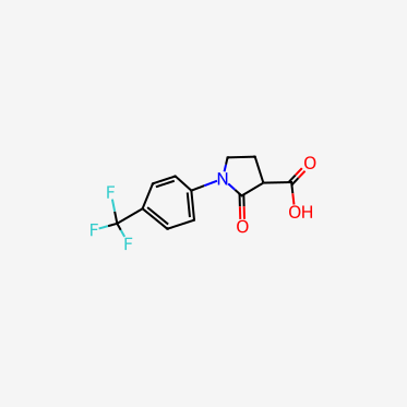 O=C(O)C1CCN(c2ccc(C(F)(F)F)cc2)C1=O